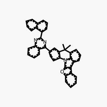 CC1(C)c2cc(-c3nc(-c4cccc5ccccc45)nc4ccccc34)ccc2-n2c3oc4ccccc4c3c3cccc1c32